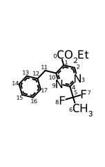 CCOC(=O)c1cnc(C(C)(F)F)nc1Cc1ccccc1